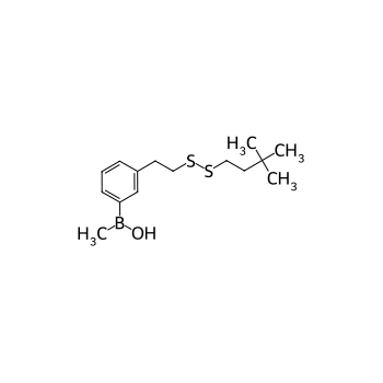 CB(O)c1cccc(CCSSCCC(C)(C)C)c1